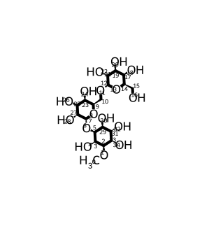 CO[C@H]1[C@H](O)[C@@H](O[C@H]2O[C@H](CO[C@H]3O[C@H](CO)[C@H](O)[C@H](O)[C@H]3O)[C@H](O)[C@H](O)[C@H]2O)[C@@H](O)[C@H](O)[C@@H]1O